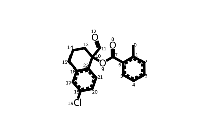 Cc1ccccc1C(=O)OC1(C=O)CCCc2cc(Cl)ccc21